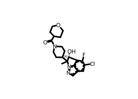 CC1(C2CCN(C(=O)C3CCOCC3)CC2)[C@H](O)c2c(F)c(Cl)cc3cnn1c23